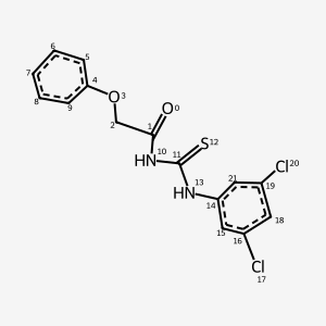 O=C(COc1ccccc1)NC(=S)Nc1cc(Cl)cc(Cl)c1